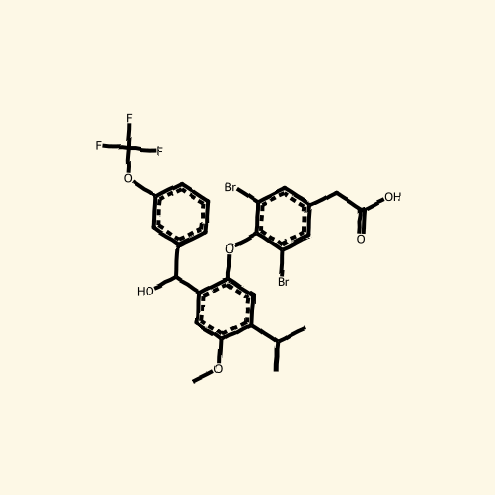 COc1cc(C(O)c2cccc(OC(F)(F)F)c2)c(Oc2c(Br)cc(CC(=O)O)cc2Br)cc1C(C)C